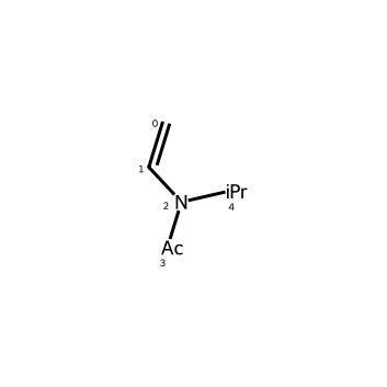 C=CN(C(C)=O)C(C)C